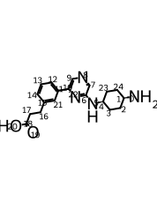 N[C@H]1CC[C@@H](Nc2cncc(-c3cccc(CCC(=O)O)c3)n2)CC1